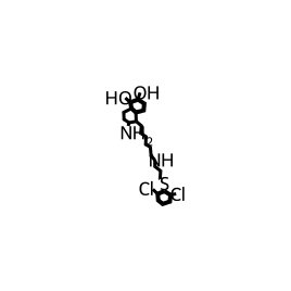 NC1CCc2c(ccc(O)c2O)C1CCCCCCNCCCSc1c(Cl)cccc1Cl